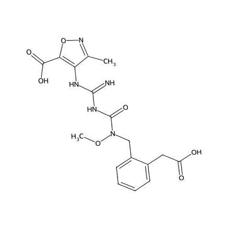 CON(Cc1ccccc1CC(=O)O)C(=O)NC(=N)Nc1c(C)noc1C(=O)O